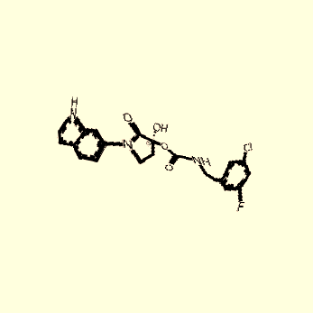 O=C(NCc1cc(F)cc(Cl)c1)O[C@@]1(O)CCN(c2ccc3cc[nH]c3c2)C1=O